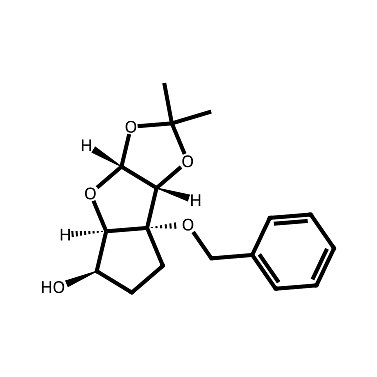 CC1(C)O[C@H]2O[C@@H]3[C@H](O)CC[C@]3(OCc3ccccc3)[C@H]2O1